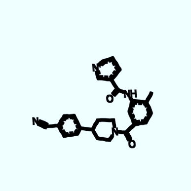 Cc1ccc(C(=O)N2CCC(c3ccc(C#N)cc3)CC2)cc1NC(=O)c1cccnc1